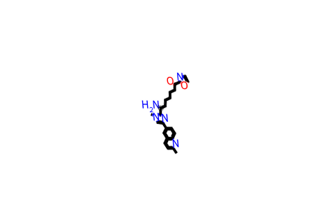 Cc1ccc2cc(-c3cn(C)c([C@@H](N)CCCCCC(=O)c4ncco4)n3)ccc2n1